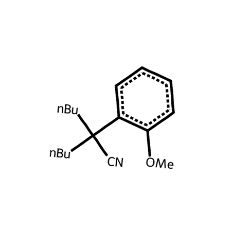 CCCCC(C#N)(CCCC)c1ccccc1OC